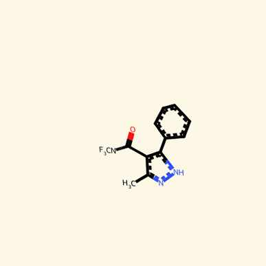 Cc1n[nH]c(-c2ccccc2)c1C(=O)NC(F)(F)F